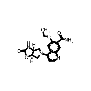 CCOc1cc2c(N3C[C@@H]4OC(=O)N[C@@H]4C3)ccnc2cc1C(N)=O